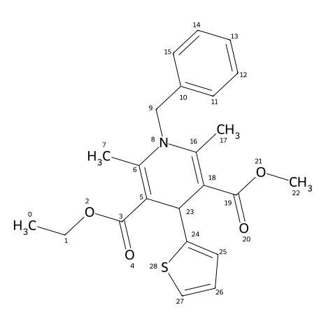 CCOC(=O)C1=C(C)N(Cc2ccccc2)C(C)=C(C(=O)OC)C1c1cccs1